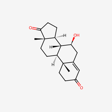 C[C@]12CCC(=O)C=C1C[C@H](O)[C@@H]1[C@@H]2CC[C@]2(C)C(=O)CC[C@@H]12